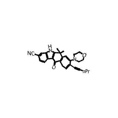 CCCC#CC1=CCC2=C(C=C1N1CCOCC1)C(C)(C)c1[nH]c3cc(C#N)ccc3c1C2=O